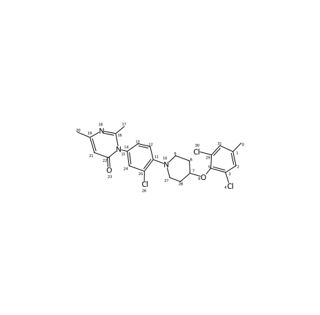 Cc1cc(Cl)c(OC2CCN(c3ccc(-n4c(C)nc(C)cc4=O)cc3Cl)CC2)c(Cl)c1